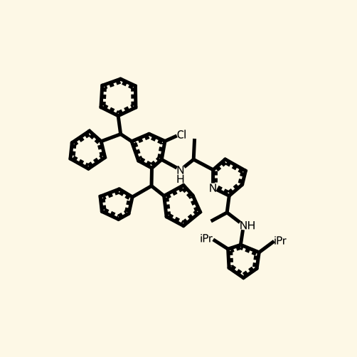 CC(C)c1cccc(C(C)C)c1NC(C)c1cccc(C(C)Nc2c(Cl)cc(C(c3ccccc3)c3ccccc3)cc2C(c2ccccc2)c2ccccc2)n1